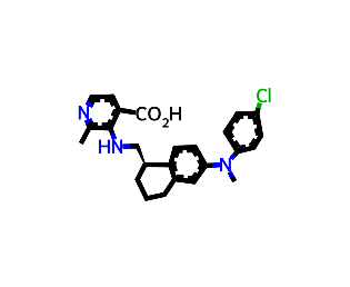 Cc1nccc(C(=O)O)c1NC[C@@H]1CCCc2cc(N(C)c3ccc(Cl)cc3)ccc21